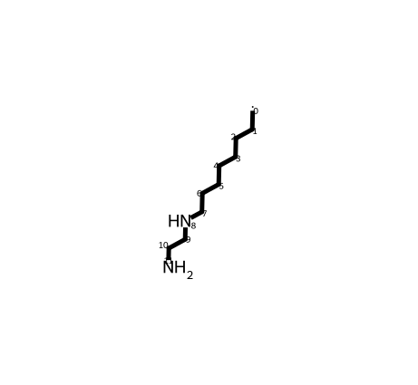 [CH2]CCCCCCCNCCN